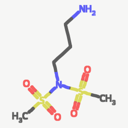 CS(=O)(=O)N(CCCN)S(C)(=O)=O